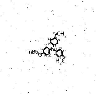 C=Cc1ccc(N(c2ccc(C=C)cc2)c2ccc(OCCCC)cc2)cc1